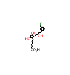 O=C(O)CCCCCC[C@@H]1[C@@H](CCC(O)/C=C/c2cccc(CF)c2)[C@H](O)C[C@@H]1O